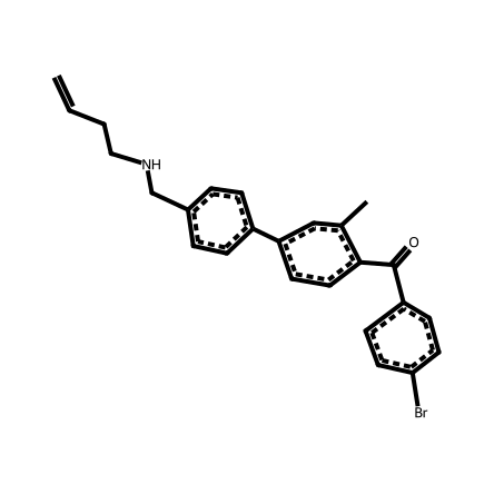 C=CCCNCc1ccc(-c2ccc(C(=O)c3ccc(Br)cc3)c(C)c2)cc1